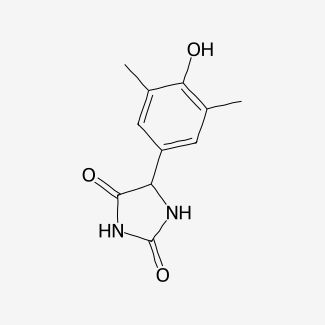 Cc1cc(C2NC(=O)NC2=O)cc(C)c1O